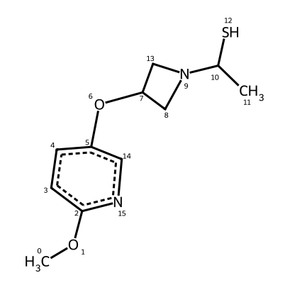 COc1ccc(OC2CN(C(C)S)C2)cn1